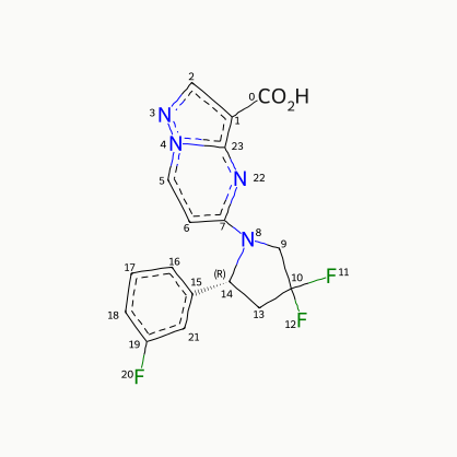 O=C(O)c1cnn2ccc(N3CC(F)(F)C[C@@H]3c3cccc(F)c3)nc12